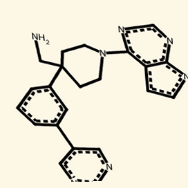 NCC1(c2cccc(-c3cncnc3)c2)CCN(c2ncnc3[nH]ccc23)CC1